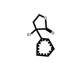 CCC1(c2ccccc2)CCOC1=O